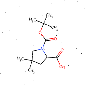 CC1(C)CC(C(=O)O)N(C(=O)OC(C)(C)C)C1